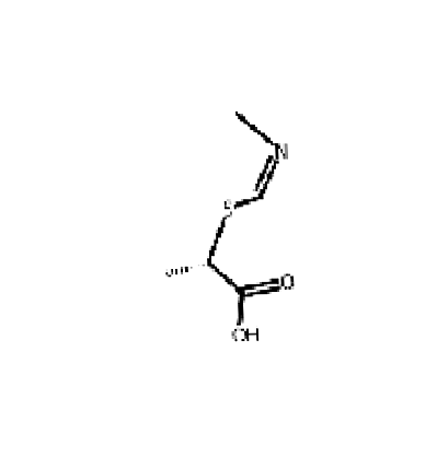 C/N=C\S[C@@H](C)C(=O)O